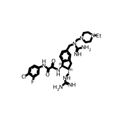 CCN1CCN(CN(Cc2ccc3c(c2)C[C@H](CNC(=N)N)[C@H]3NC(=O)C(=O)Nc2ccc(Cl)c(F)c2)C(=N)N)CC1